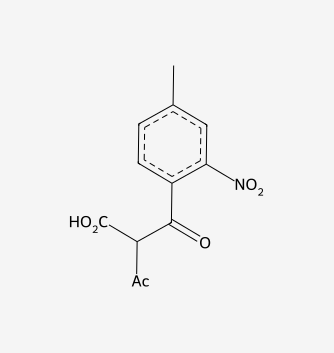 CC(=O)C(C(=O)O)C(=O)c1ccc(C)cc1[N+](=O)[O-]